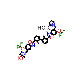 Cc1c(-c2nc3cc(CN4CCC[C@H]4C(=O)O)c(OC(F)F)cc3o2)cccc1-c1cccc(-c2nc3cc(CN4CCC4(C)O)c(OC(F)F)cc3o2)c1C